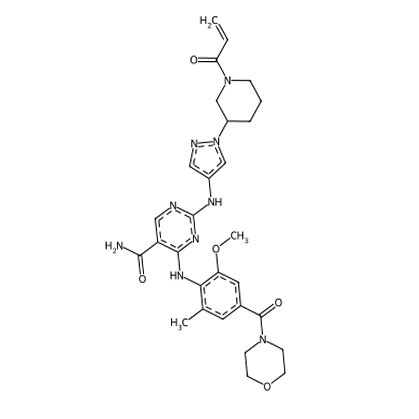 C=CC(=O)N1CCCC(n2cc(Nc3ncc(C(N)=O)c(Nc4c(C)cc(C(=O)N5CCOCC5)cc4OC)n3)cn2)C1